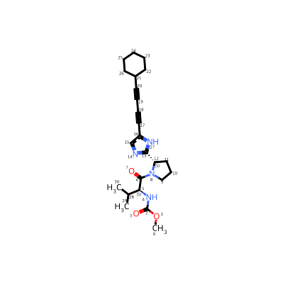 COC(=O)N[C@H](C(=O)N1CCC[C@H]1c1ncc(C#CC#CC2CCCCC2)[nH]1)C(C)C